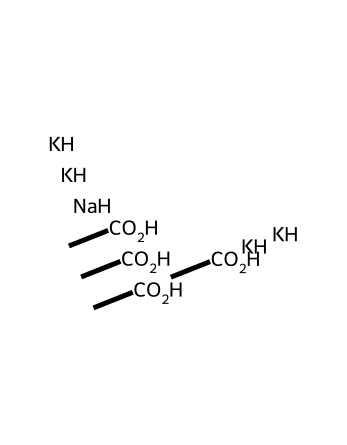 CC(=O)O.CC(=O)O.CC(=O)O.CC(=O)O.[KH].[KH].[KH].[KH].[NaH]